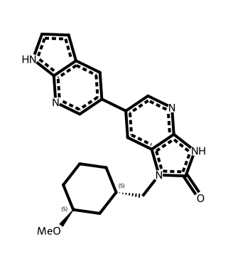 CO[C@H]1CCC[C@H](Cn2c(=O)[nH]c3ncc(-c4cnc5[nH]ccc5c4)cc32)C1